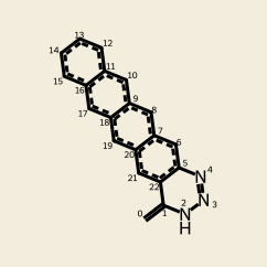 C=C1NN=Nc2cc3cc4cc5ccccc5cc4cc3cc21